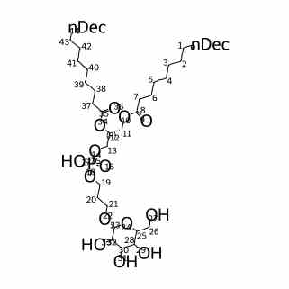 CCCCCCCCCCCCCCCCCC(=O)OC[C@H](COP(=O)(O)OCCCOC1OC(CO)C(O)C(O)C1O)OC(=O)CCCCCCCCCCCCCCCCC